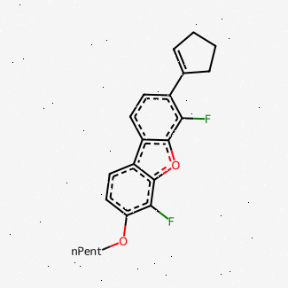 CCCCCOc1ccc2c(oc3c(F)c(C4=CCCC4)ccc32)c1F